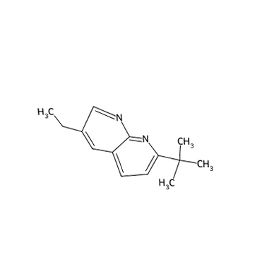 CCc1cnc2nc(C(C)(C)C)ccc2c1